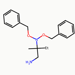 CCC(C)(CN)N(OCc1ccccc1)OCc1ccccc1